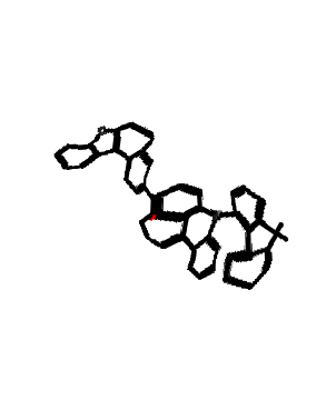 CC1(C)c2ccccc2-c2c(N(c3ccc(-c4ccc5c(ccc6oc7ccccc7c65)c4)cc3)c3ccccc3-c3ccccc3)cccc21